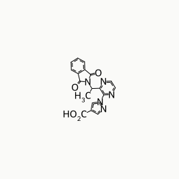 CC(c1nccnc1-n1cc(C(=O)O)cn1)N1C(=O)c2ccccc2C1=O